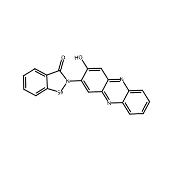 O=c1c2ccccc2[se]n1-c1cc2nc3ccccc3nc2cc1O